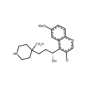 COc1ccc2ncc(Cl)c([C@H](O)CCC3(C(=O)O)CCNCC3)c2c1